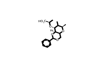 CC1[C@@H](O[C@H](C)C(=O)O)[C@@H]2OC(c3ccccc3)OCC2O[C@@H]1C